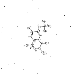 [2H]C([2H])([2H])Oc1cc(C(=O)OC)c([N+](=O)[O-])cc1Br